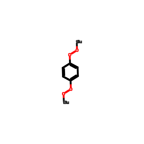 CC(C)(C)OOc1ccc(OOC(C)(C)C)cc1